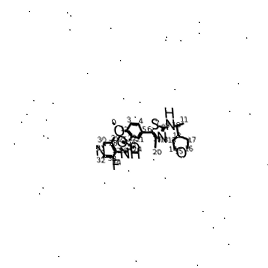 COc1ccc(-c2sc(NC(C)C3CCOCC3)nc2C)cc1S(=O)(=O)Nc1c(C)cncc1F